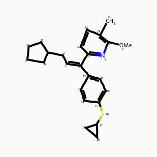 COc1nc(/C(=C\CC2CCCC2)c2ccc(SC3CC3)cc2)ccc1C